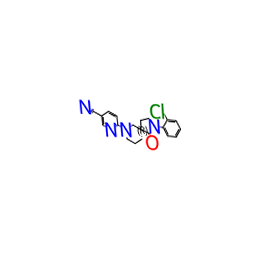 N#Cc1ccc(N2CCC[C@@]3(CCN(c4ccccc4Cl)C3=O)C2)nc1